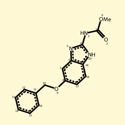 COC(=O)Nc1nc2cc(OCc3ccccc3)ccc2[nH]1